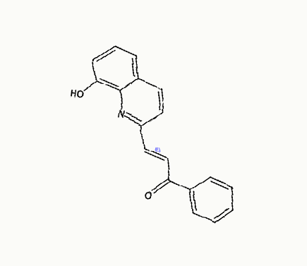 O=C(/C=C/c1ccc2cccc(O)c2n1)c1ccccc1